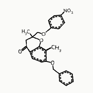 Cc1c(OCc2ccccc2)ccc2c1OC(C)(COc1ccc([N+](=O)[O-])cc1)CC2=O